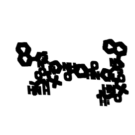 CN[C@@H](C)C(=O)N[C@H](C(=O)N1C[C@@H](NC(=O)c2ccc(C(=O)N[C@H]3C[C@@H](c4nc(-c5cccc6ccccc56)cs4)N(C(=O)[C@@H](NC(=O)[C@H](C)NC)C(C)(C)C)C3)cc2)C[C@H]1c1nc(-c2cccc3ccccc23)cs1)C(C)(C)C